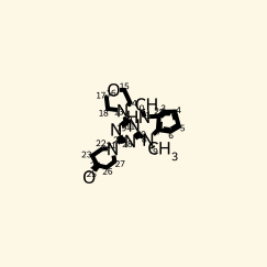 CNc1ccccc1N(C)c1nc(N2CCOCC2)nc(N2CCC(=O)CC2)n1